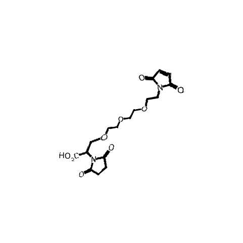 O=C(O)C(COCCOCCOCCN1C(=O)C=CC1=O)N1C(=O)CCC1=O